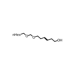 CCCCCCCOCOCC/C=C/CCO